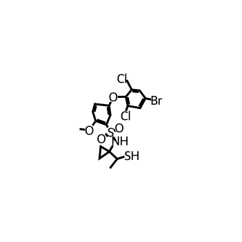 COc1ccc(Oc2c(Cl)cc(Br)cc2Cl)cc1S(=O)(=O)NC1(C(C)S)CC1